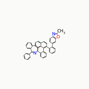 Cc1nc2ccc(-c3ccccc3-c3ccc4ccccc4c3-c3ccccc3C3=CCc4ccccc4C(c4ccccc4)=N3)cc2o1